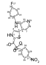 O=C(C1NC=C(c2ccncc2Nc2ccc(F)cc2)S1)S(=O)(=O)c1ccc([N+](=O)[O-])cc1